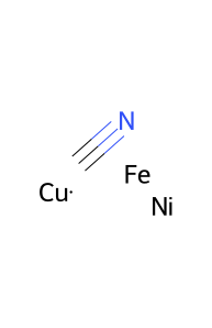 C#N.[Cu].[Fe].[Ni]